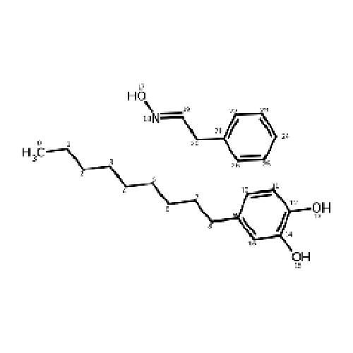 CCCCCCCCCc1ccc(O)c(O)c1.ON=CCc1ccccc1